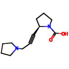 O=C(O)N1CCC[C@@H]1C#CCN1CCCC1